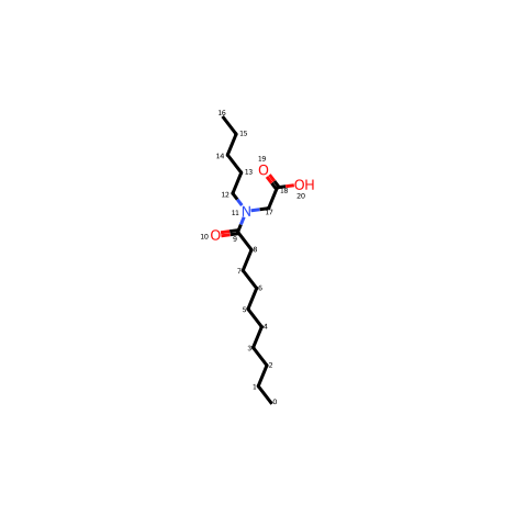 CCCCCCCCCC(=O)N(CCCCC)CC(=O)O